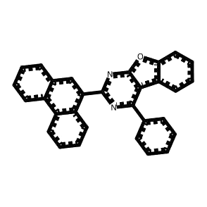 c1ccc(-c2nc(-c3cc4ccccc4c4ccccc34)nc3oc4ccccc4c23)cc1